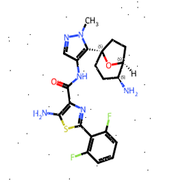 Cn1ncc(NC(=O)c2nc(-c3c(F)cccc3F)sc2N)c1[C@]12CC[C@H](O1)[C@@H](N)CC2